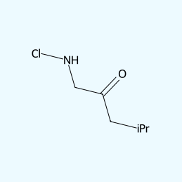 CC(C)CC(=O)CNCl